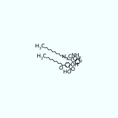 CCCCCCCCCC(=O)c1ccc(O)c(C(=O)O)c1.CCCCCCCCCCCCCCC(Cc1ccccc1)C(C)(C)N